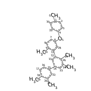 Cc1ccc(Oc2ccc(C)c(-c3cc(-c4ccc(C)c(C)c4)cc(C)c3C)c2)cc1